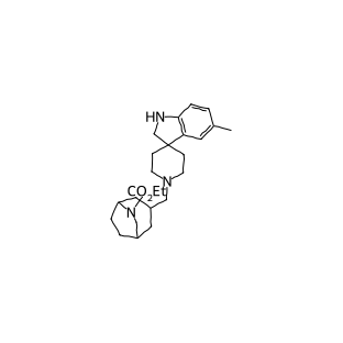 CCOC(=O)N1CC2CCC1CC(CN1CCC3(CC1)CNc1ccc(C)cc13)C2